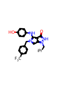 CC(C)Cn1[nH]c(=O)c2c(Nc3ccc(O)cc3)n(Cc3ccc(C(F)(F)F)cc3)cc21